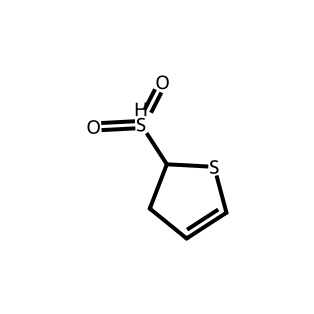 O=[SH](=O)C1CC=CS1